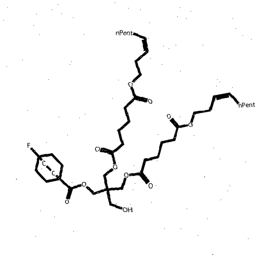 CCCCC/C=C\CCOC(=O)CCCCC(=O)OCC(CO)(COC(=O)CCCCC(=O)OCC/C=C\CCCCC)COC(=O)C12CCC(F)(CC1)CC2